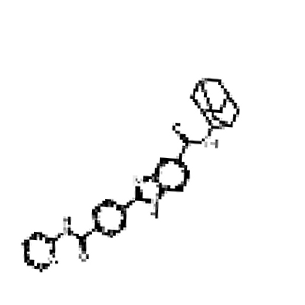 O=C(Nc1ccccn1)c1ccc(-c2nc3cc(C(=O)NC4C5CC6CC(C5)CC4C6)ccc3[nH]2)cc1